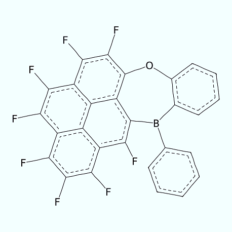 Fc1c(F)c2c(F)c(F)c3c(F)c(F)c4c5c(c(F)c(c1F)c2c35)B(c1ccccc1)c1ccccc1O4